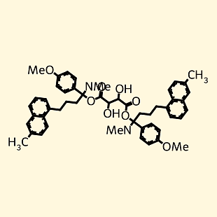 CNC(CCCc1cccc2cc(C)ccc12)(OC(=O)C(O)C(O)C(=O)OC(CCCc1cccc2cc(C)ccc12)(NC)c1ccc(OC)cc1)c1ccc(OC)cc1